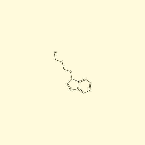 CC(C)CCCOC1C=Cc2ccccc21